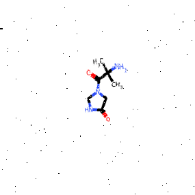 CC(C)(N)C(=O)N1CNC(=O)C1